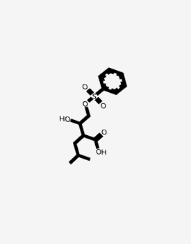 CC(C)CC(C(=O)O)C(O)COS(=O)(=O)c1ccccc1